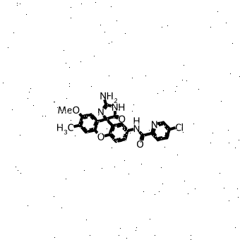 COc1cc2c(cc1C)Oc1ccc(NC(=O)c3ccc(Cl)cn3)cc1C21N=C(N)NC1=O